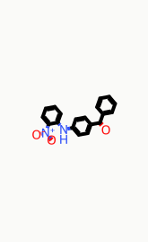 O=C(c1ccccc1)c1ccc(Nc2ccccc2[N+](=O)[O-])cc1